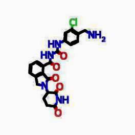 NCc1ccc(NC(=O)NC(=O)c2cccc3c2C(=O)N(C2CCC(=O)NC2=O)C3)cc1Cl